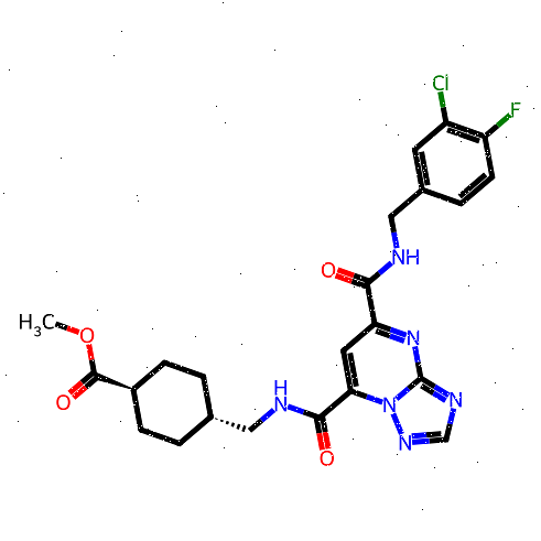 COC(=O)[C@H]1CC[C@H](CNC(=O)c2cc(C(=O)NCc3ccc(F)c(Cl)c3)nc3ncnn23)CC1